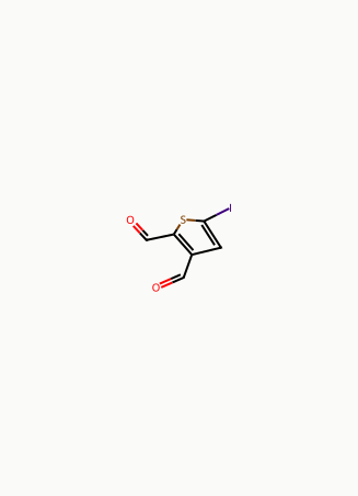 O=Cc1cc(I)sc1C=O